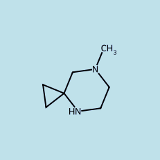 CN1CCNC2(CC2)C1